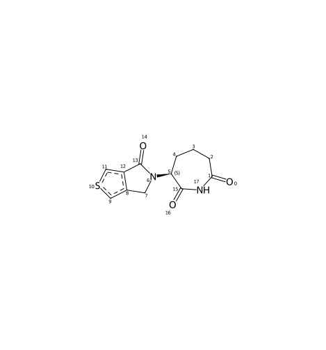 O=C1CCC[C@H](N2Cc3cscc3C2=O)C(=O)N1